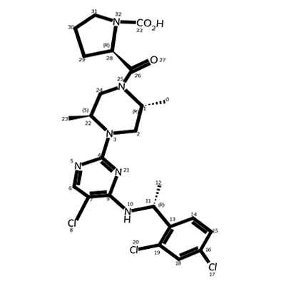 C[C@@H]1CN(c2ncc(Cl)c(N[C@H](C)c3ccc(Cl)cc3Cl)n2)[C@@H](C)CN1C(=O)[C@H]1CCCN1C(=O)O